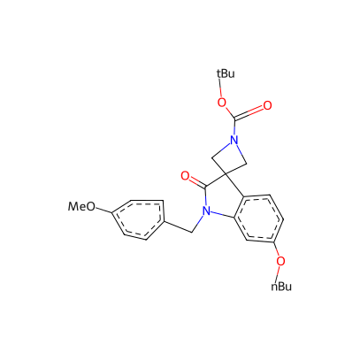 CCCCOc1ccc2c(c1)N(Cc1ccc(OC)cc1)C(=O)C21CN(C(=O)OC(C)(C)C)C1